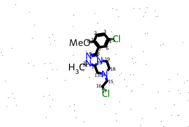 COc1ccc(Cl)cc1C1=NN(C)C2CN(CCCl)CCN12